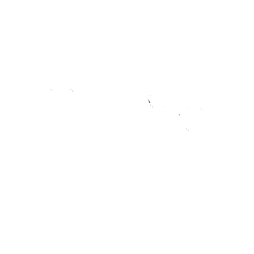 Cc1ccc(S(=O)(=O)N2CCNC(=O)[C@H]2CC(=O)N[C@@H]2CCCc3cc(C4=CCN(C(=O)O)CC4)ccc32)cc1